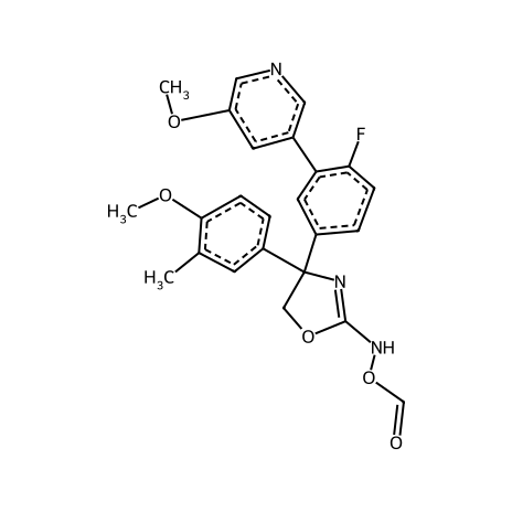 COc1cncc(-c2cc(C3(c4ccc(OC)c(C)c4)COC(NOC=O)=N3)ccc2F)c1